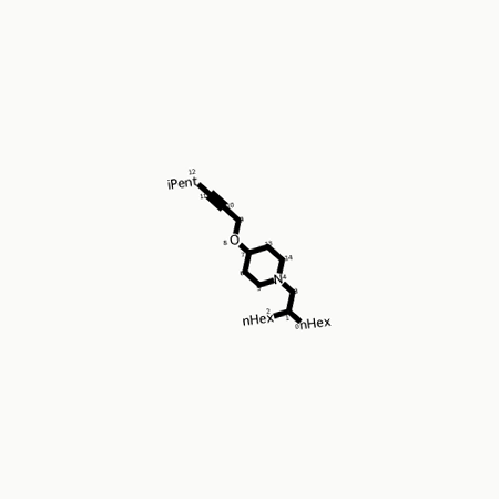 CCCCCCC(CCCCCC)CN1CCC(OCC#CC(C)CCC)CC1